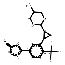 NC1COC(C2CC2c2cc(-c3n[nH]c(=O)o3)ccc2C(F)(F)F)OC1